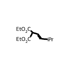 CCOC(=O)C(C=CC(C)C)C(=O)OCC